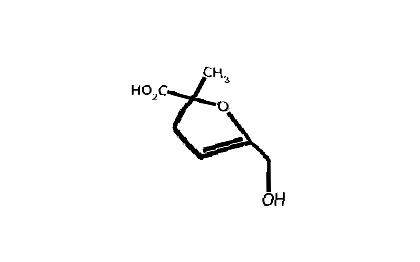 CC1(C(=O)O)CC=C(CO)O1